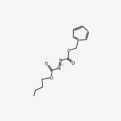 CCCCOC(=O)/N=N/C(=O)OCc1ccccc1